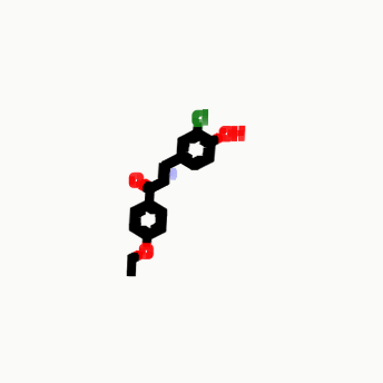 CCOc1ccc(C(=O)/C=C/c2ccc(O)c(Cl)c2)cc1